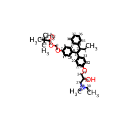 CCC(=C(c1ccc(OCOC(=O)C(C)(C)C)cc1)c1ccc(OCC(O)CN(C)CC)cc1)c1ccccc1